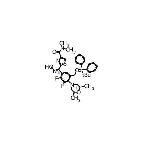 C[C@@H]1CN(c2c(CO[Si](c3ccccc3)(c3ccccc3)C(C)(C)C)cc(/C(=N/O)c3nc(C(=O)N(C)C)cs3)c(F)c2F)C[C@H](C)O1